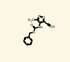 C#Cc1onc(C)c1NC(=O)OCc1ccccc1